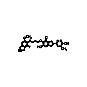 COc1cc2c(c(F)c1OCCCOc1c(O)cc3c(c1Cl)CN(C(=O)C[C@H](C)C(=O)O)C3)CNC2